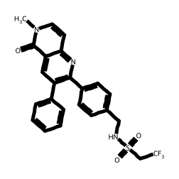 Cn1ccc2nc(-c3ccc(CNS(=O)(=O)CC(F)(F)F)cc3)c(-c3ccccc3)cc2c1=O